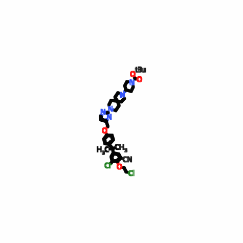 CC(C)(C)OC(=O)N1CCC(N2CCC3(CCN(c4nccc(COc5ccc(C(C)(C)c6cc(Cl)c(OCCCl)c(C#N)c6)cc5)n4)CC3)CC2)CC1